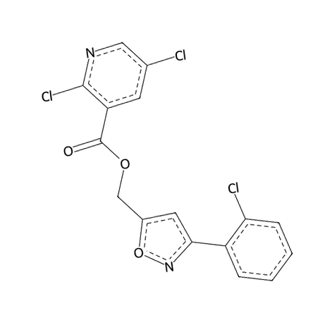 O=C(OCc1cc(-c2ccccc2Cl)no1)c1cc(Cl)cnc1Cl